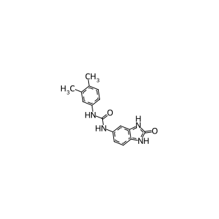 Cc1ccc(NC(=O)Nc2ccc3[nH]c(=O)[nH]c3c2)cc1C